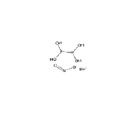 O=N[O-].OP(O)P(O)O.[Na+]